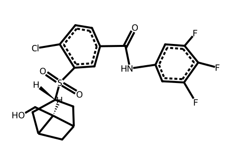 O=C(Nc1cc(F)c(F)c(F)c1)c1ccc(Cl)c(S(=O)(=O)[C@H]2CC3CC(C2)[C@@H]3CO)c1